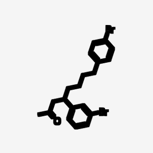 CC(=O)CC(CCCCc1ccc(Br)cc1)c1cccc(Br)c1